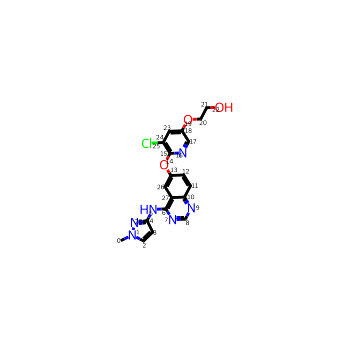 Cn1ccc(Nc2ncnc3ccc(Oc4ncc(OCCO)cc4Cl)cc23)n1